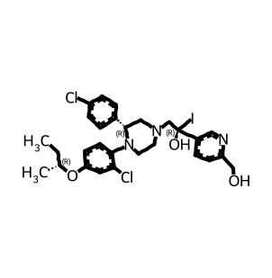 CC[C@@H](C)Oc1ccc(N2CCN(C[C@](O)(I)c3ccc(CO)nc3)C[C@H]2c2ccc(Cl)cc2)c(Cl)c1